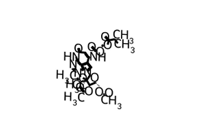 CC(=O)OC[C@H]1O[C@@H](n2cc3c4c(ncnc42)NC(=O)C=C3NC(=O)OCOC(=O)C(C)C)[C@](C)(OC(C)=O)[C@@H]1OC(C)=O